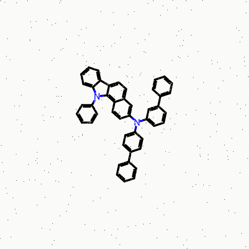 c1ccc(-c2ccc(N(c3cccc(-c4ccccc4)c3)c3ccc4c(ccc5c6ccccc6n(-c6ccccc6)c45)c3)cc2)cc1